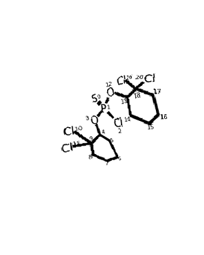 S=P(Cl)(OC1CCCCC1(Cl)Cl)OC1CCCCC1(Cl)Cl